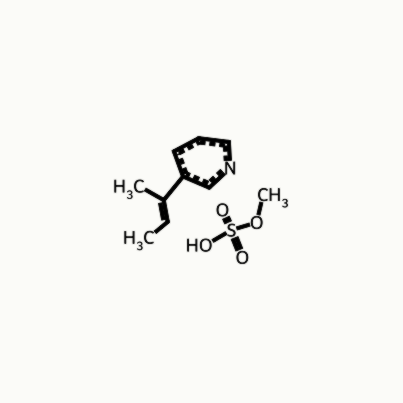 CC=C(C)c1cccnc1.COS(=O)(=O)O